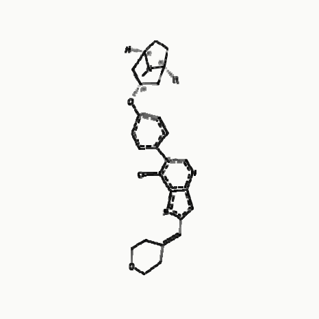 CN1[C@@H]2CC[C@H]1C[C@H](Oc1ccc(-n3cnc4cc(C=C5CCOCC5)sc4c3=O)cc1)C2